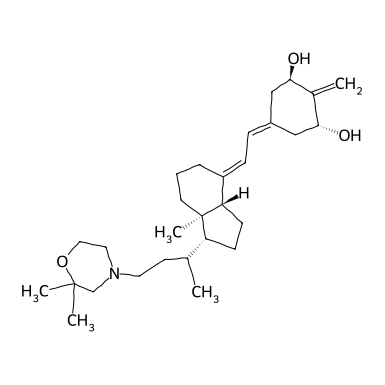 C=C1[C@H](O)CC(=CC=C2CCC[C@]3(C)[C@@H](C(C)CCN4CCOC(C)(C)C4)CC[C@@H]23)C[C@H]1O